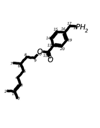 CC(C)=CCCC(C)CCOC(=O)c1ccc(CP)cc1